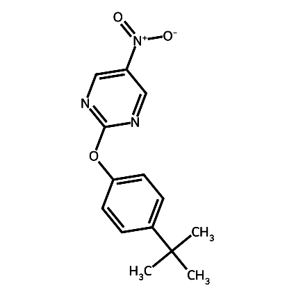 CC(C)(C)c1ccc(Oc2ncc([N+](=O)[O-])cn2)cc1